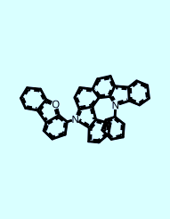 c1ccc(-n2c3ccccc3c3ccc4ccc5c(c6ccccc6n5-c5cccc6c5oc5ccccc56)c4c32)cc1